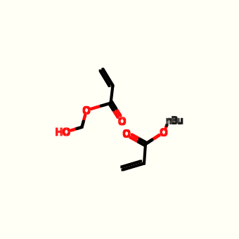 C=CC(=O)OCCCC.C=CC(=O)OCO